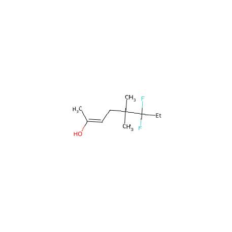 CCC(F)(F)C(C)(C)C/C=C(\C)O